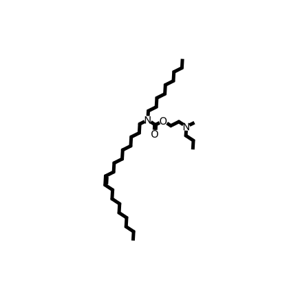 CCCCCCCC/C=C\CCCCCCCCN(CCCCCCCCC)C(=O)OCCN(C)CCC